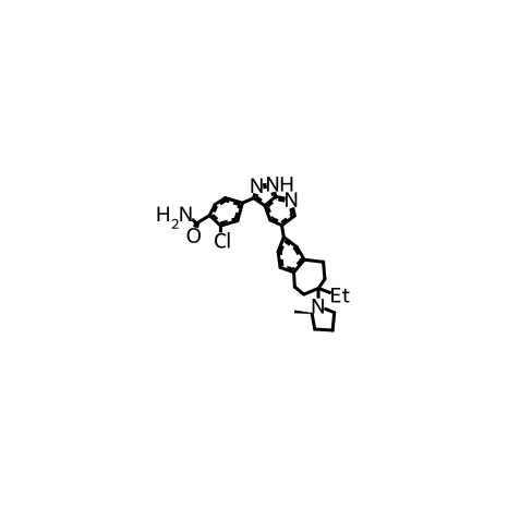 CCC1(N2CCC[C@H]2C)CCc2ccc(-c3cnc4[nH]nc(-c5ccc(C(N)=O)c(Cl)c5)c4c3)cc2CC1